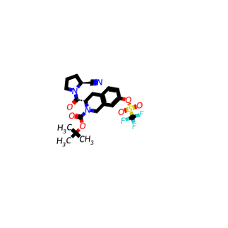 CC(C)(C)OC(=O)N1Cc2cc(OS(=O)(=O)C(F)(F)F)ccc2C[C@H]1C(=O)N1CCC[C@H]1C#N